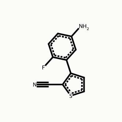 N#Cc1sccc1-c1cc(N)ccc1F